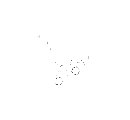 COC(=O)CCCCCNC(=O)[C@@H]1Cc2ccccc2N1S(=O)(=O)c1cccc2c(N(C)C)cccc12